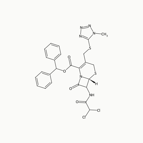 Cn1nnnc1SCC1=C(C(=O)OC(c2ccccc2)c2ccccc2)N2C(=O)C(NC(=O)C(Cl)Cl)[C@H]2SC1